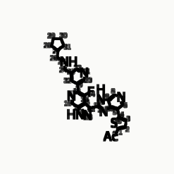 CC(=O)c1ccc(-c2cncc3[nH]c(-c4n[nH]c5cnc(-c6cncc(CNCC7CCCC7)c6)c(F)c45)nc23)s1